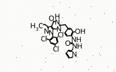 CCc1nn(-c2c(Cl)cc(Cl)cc2Cl)c2nc(Cc3ccc(NC(=O)Nc4ccccn4)c(O)c3)[nH]c(=O)c12